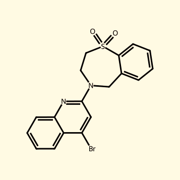 O=S1(=O)CCN(c2cc(Br)c3ccccc3n2)Cc2ccccc21